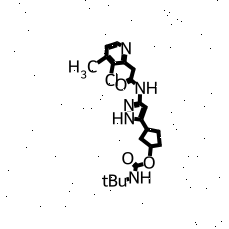 Cc1ccnc(CC(=O)Nc2cc(C3CCC(OC(=O)NC(C)(C)C)C3)[nH]n2)c1Cl